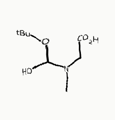 CN(CC(=O)O)C(O)OC(C)(C)C